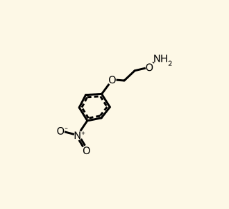 NOCCOc1ccc([N+](=O)[O-])cc1